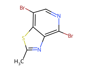 Cc1nc2c(Br)ncc(Br)c2s1